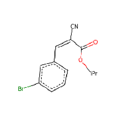 CC(C)OC(=O)C(C#N)=Cc1cccc(Br)c1